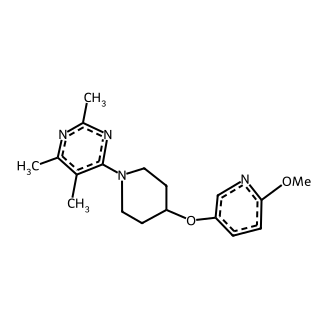 COc1ccc(OC2CCN(c3nc(C)nc(C)c3C)CC2)cn1